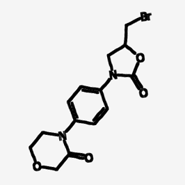 O=C1COCCN1c1ccc(N2CC(CBr)OC2=O)cc1